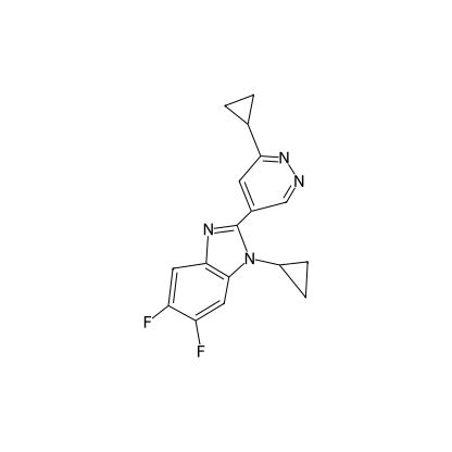 Fc1cc2nc(-c3cnnc(C4CC4)c3)n(C3CC3)c2cc1F